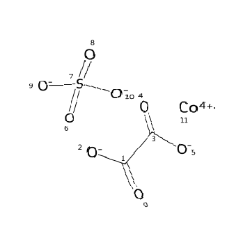 O=C([O-])C(=O)[O-].O=S(=O)([O-])[O-].[Co+4]